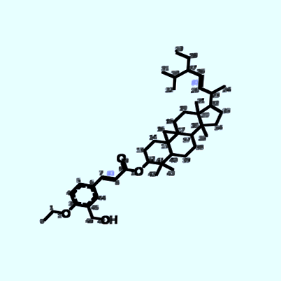 CCOc1ccc(/C=C/C(=O)OC2CCC34CC35CCC3(C)C(C(C)/C=C/C(CC)C(C)C)CCC3(C)C5CCC4C2(C)C)cc1CO